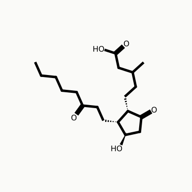 CCCCCC(=O)CC[C@H]1[C@H](O)CC(=O)[C@H]1CCC(C)CC(=O)O